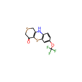 O=C1CSCC2=C1Sc1cc(OC(F)(F)F)ccc1N2